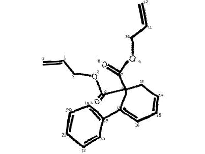 C=CCOC(=O)C1(C(=O)OCC=C)CC=CC=C1c1ccccc1